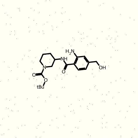 CC(C)(C)OC(=O)N1CCCC(NC(=O)c2ccc(CO)cc2N)C1